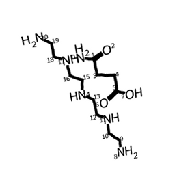 NC(=O)CCC(=O)O.NCCNCCNCCNCCN